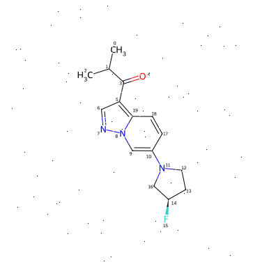 CC(C)C(=O)c1cnn2cc(N3CC[C@@H](F)C3)ccc12